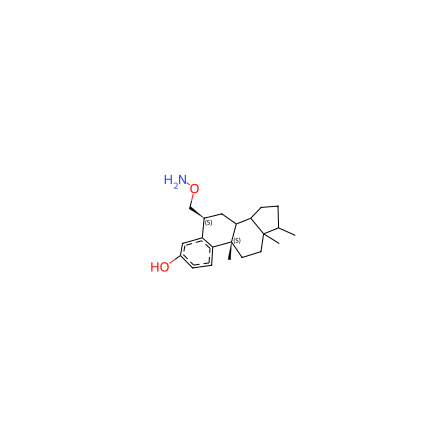 CC1CCC2C3C[C@H](CON)c4cc(O)ccc4[C@@]3(C)CCC12C